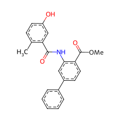 COC(=O)c1ccc(-c2ccccc2)cc1NC(=O)c1cc(O)ccc1C